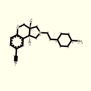 N#Cc1ccc2c(c1)[C@@H]1CN(CCC3CCC(N)CC3)C[C@H]1CO2